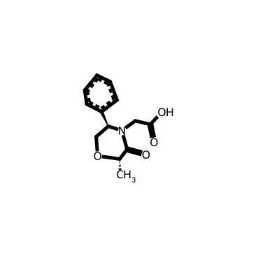 C[C@@H]1OC[C@@H](c2ccccc2)N(CC(=O)O)C1=O